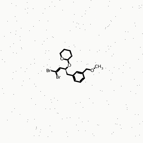 COCc1cccc(C[C@@H](C=C(Br)Br)OC2CCCCO2)c1